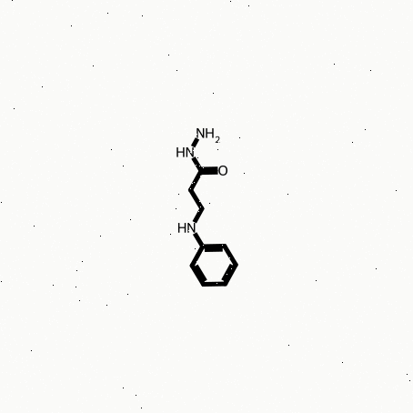 NNC(=O)CCNc1ccccc1